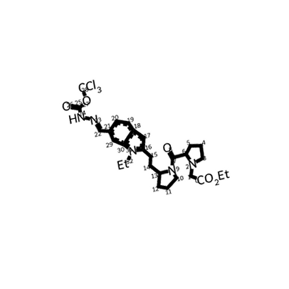 CCOC(=O)CN1CCCC1C(=O)N1CCCC1CCc1cc2ccc(C=NNC(=O)OC(Cl)(Cl)Cl)cc2n1CC